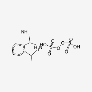 CC(C)c1ccccc1C(C)C.N.N.O=S(=O)(O)OOS(=O)(=O)O